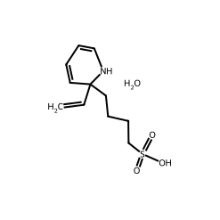 C=CC1(CCCCS(=O)(=O)O)C=CC=CN1.O